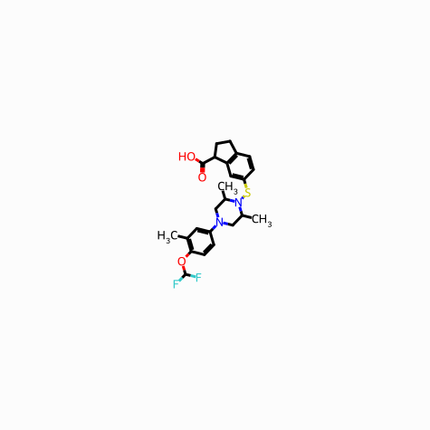 Cc1cc(N2CC(C)N(Sc3ccc4c(c3)C(C(=O)O)CC4)C(C)C2)ccc1OC(F)F